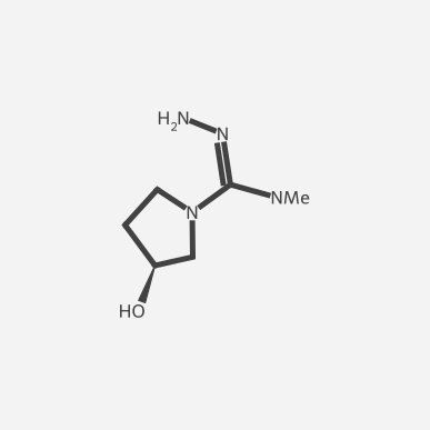 CN/C(=N/N)N1CC[C@H](O)C1